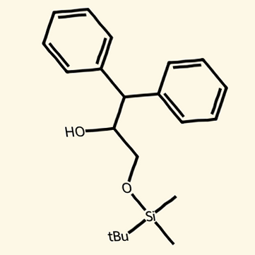 CC(C)(C)[Si](C)(C)OCC(O)C(c1ccccc1)c1ccccc1